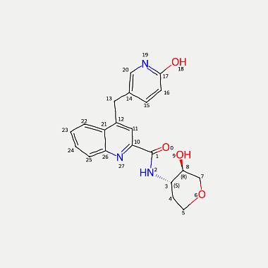 O=C(N[C@H]1CCOC[C@@H]1O)c1cc(Cc2ccc(O)nc2)c2ccccc2n1